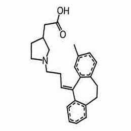 Cc1ccc2c(c1)C(=CCCN1CCC(CC(=O)O)C1)c1ccccc1CC2